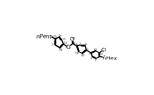 CCCCCCc1ccc(-c2ccc(C(=O)Oc3ccc(CCCCC)cc3)cc2)cc1Cl